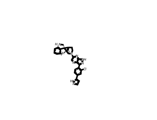 NC[C@]1(c2ccccc2F)[C@@H]2CCN(c3cnc4c(-c5ccc(-c6ccn[nH]6)cc5Cl)n[nH]c4n3)C[C@@H]21